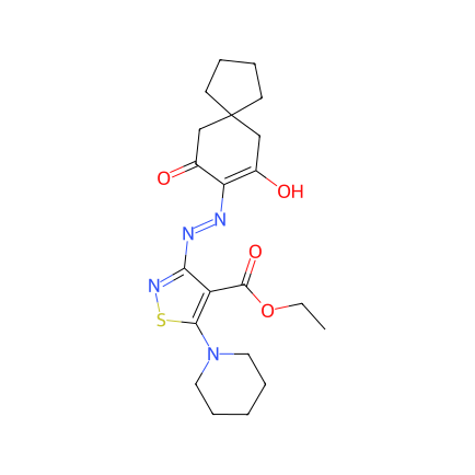 CCOC(=O)c1c(N=NC2=C(O)CC3(CCCC3)CC2=O)nsc1N1CCCCC1